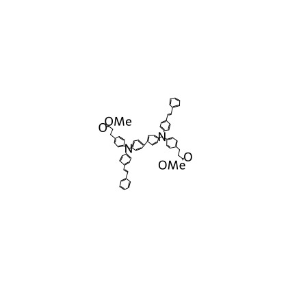 COC(=O)CCc1ccc(N(c2ccc(/C=C/c3ccccc3)cc2)c2ccc(-c3ccc(N(c4ccc(/C=C/c5ccccc5)cc4)c4ccc(CCC(=O)OC)cc4)cc3)cc2)cc1